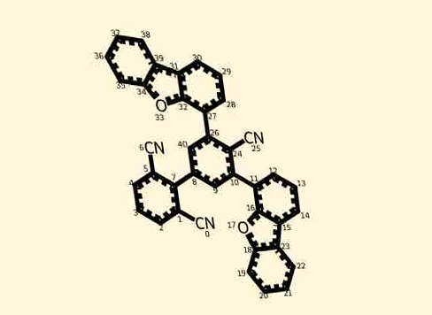 N#Cc1cccc(C#N)c1-c1cc(-c2cccc3c2oc2ccccc23)c(C#N)c(-c2cccc3c2oc2ccccc23)c1